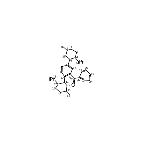 CC1CCC(C(C)C)C(c2ccc(C3CC(C)CCC3C(C)C)c(C(=O)c3ccccc3)c2)C1